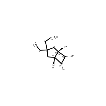 C[C@@H]1[C@H](C)[C@@H]2CC(CN)(CC(=O)O)C[C@H]12